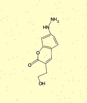 NNc1ccc2cc(CCO)c(=O)oc2c1